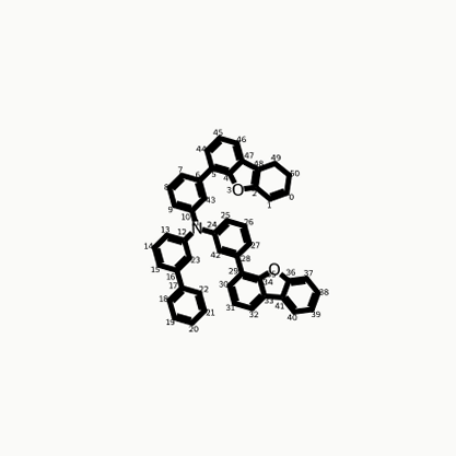 C1=Cc2oc3c(-c4cccc(N(c5cccc(-c6ccccc6)c5)c5cccc(-c6cccc7c6oc6ccccc67)c5)c4)cccc3c2CC1